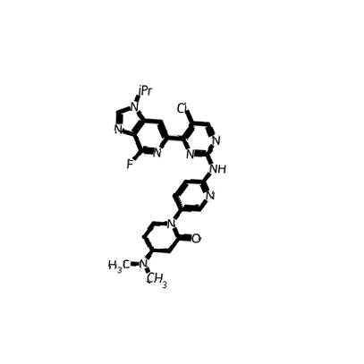 CC(C)n1cnc2c(F)nc(-c3nc(Nc4ccc(N5CCC(N(C)C)CC5=O)cn4)ncc3Cl)cc21